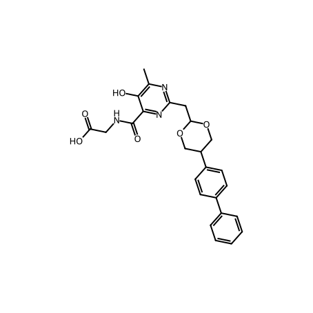 Cc1nc(CC2OCC(c3ccc(-c4ccccc4)cc3)CO2)nc(C(=O)NCC(=O)O)c1O